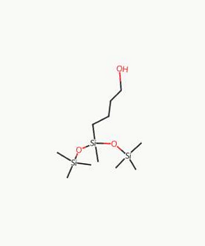 C[Si](C)(C)O[Si](C)(CCCCO)O[Si](C)(C)C